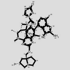 CC(C)[C@@H]1[C@H]([C@@H](C)N(C)c2nc(OC[C@@]34CCCN3C[C@H](F)C4)nc3c(F)c(-c4ccc(F)c5sc(N)c(C#N)c45)c(Cl)cc23)CN1C(=O)n1cnc(Cl)n1